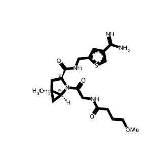 COCCCC(=O)NCC(=O)N1[C@H]2C[C@@]2(C)C[C@H]1C(=O)NCc1cc(C(=N)N)cs1